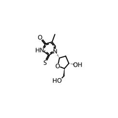 Cc1cn([C@@H]2C[C@H](O)[C@@H](CO)O2)c(=S)[nH]c1=O